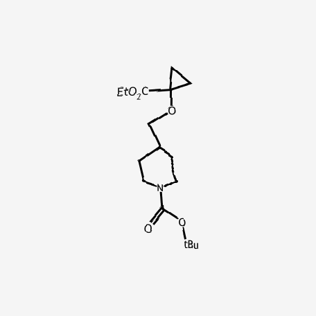 CCOC(=O)C1(OCC2CCN(C(=O)OC(C)(C)C)CC2)CC1